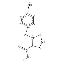 COC(=O)C1CSCN1Cc1ccc(O)cc1